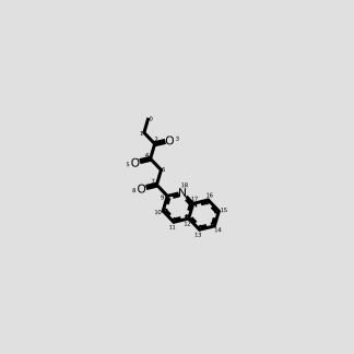 CCC(=O)C(=O)CC(=O)c1ccc2ccccc2n1